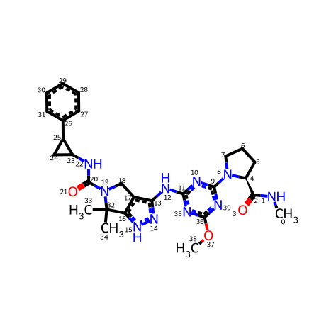 CNC(=O)[C@@H]1CCCN1c1nc(Nc2n[nH]c3c2CN(C(=O)NC2CC2c2ccccc2)C3(C)C)nc(OC)n1